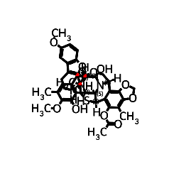 COc1ccc2oc3c(c2c1)CCNC31CS[C@H]2c3c(OC(C)=O)c(C)c4c(c3[C@@H](COC1=O)N1[C@H]2[C@H]2c3c(cc(C)c(OC)c3O)C[C@@H]([C@H]1O)N2C)OCO4